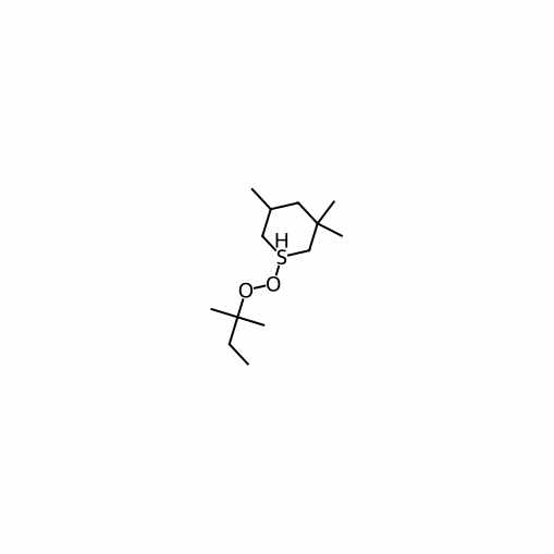 CCC(C)(C)OO[SH]1CC(C)CC(C)(C)C1